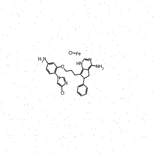 NC1=C2CC(c3ccccc3)C(CCCOc3cc(N)ccc3-n3cnc(Cl)c3)=C2NC=N1.[Cl][Fe]